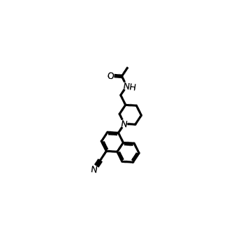 CC(=O)NCC1CCCN(c2ccc(C#N)c3ccccc23)C1